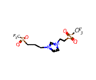 O=S(=O)(CCCn1cc[n+](CCS(=O)(=O)C(F)(F)F)c1)C(F)(F)F